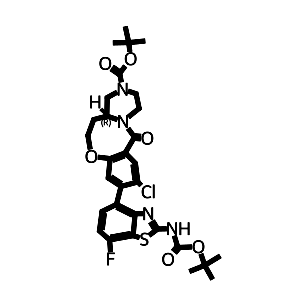 CC(C)(C)OC(=O)Nc1nc2c(-c3cc4c(cc3Cl)C(=O)N3CCN(C(=O)OC(C)(C)C)C[C@H]3CCO4)ccc(F)c2s1